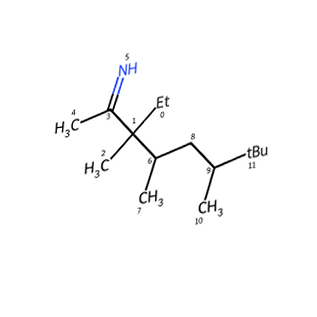 CCC(C)(C(C)=N)C(C)CC(C)C(C)(C)C